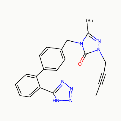 CC#CCn1nc(C(C)(C)C)n(Cc2ccc(-c3ccccc3-c3nnn[nH]3)cc2)c1=O